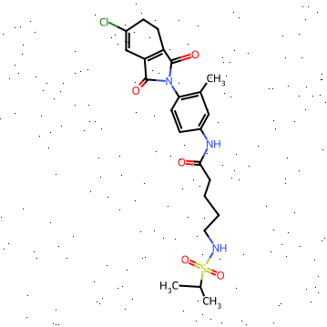 Cc1cc(NC(=O)CCCCNS(=O)(=O)C(C)C)ccc1N1C(=O)C2=C(CCC(Cl)=C2)C1=O